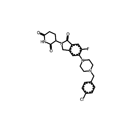 O=C1CCC(N2Cc3cc(N4CCN(Cc5ccc(Cl)cc5)CC4)c(F)cc3C2=O)C(=O)N1